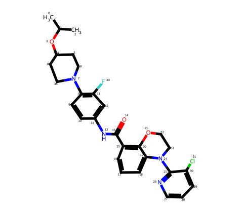 CC(C)OC1CCN(c2ccc(NC(=O)c3cccc4c3OCCN4c3ncccc3Cl)cc2F)CC1